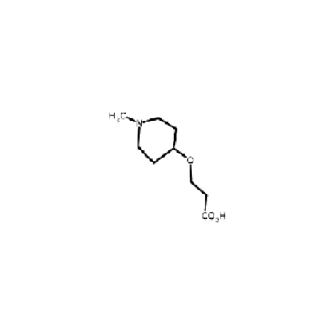 CN1CCC(OCCC(=O)O)CC1